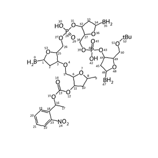 BC1CC(OCC2OC(C)CC2OC(=O)OC(C)c2ccccc2[N+](=O)[O-])C(COP(=O)(O)OC2CC(B)OC2COP(=O)(O)OC2CC(B)OC2COC(C)(C)C)O1